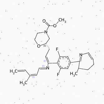 C=C\C(C)=C/C=N/C(=C/C[C@H]1CN(C(=O)OC)CCO1)c1c(F)cc(C2=NC=CCCC2C)cc1F